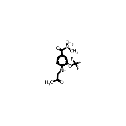 CC(=O)CNc1ccc(C(=O)N(C)C)cc1OC(F)(F)F